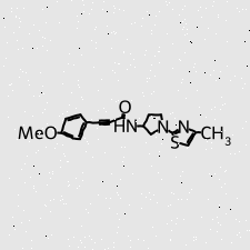 COc1ccc(C#CC(=O)NC2CCN(c3nc(C)cs3)C2)cc1